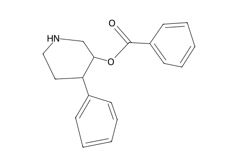 O=C(OC1CNCCC1c1ccccc1)c1ccccc1